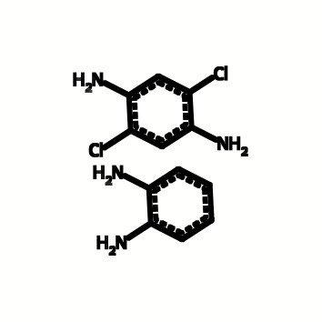 Nc1cc(Cl)c(N)cc1Cl.Nc1ccccc1N